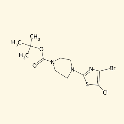 CC(C)(C)OC(=O)N1CCN(c2nc(Br)c(Cl)s2)CC1